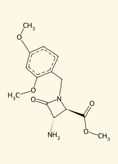 COC(=O)[C@H]1[C@H](N)C(=O)N1Cc1ccc(OC)cc1OC